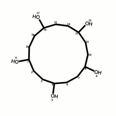 OC1CCC(O)CCC(O)CCC(O)CCC(O)CC1